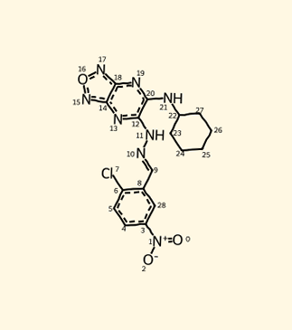 O=[N+]([O-])c1ccc(Cl)c(/C=N/Nc2nc3nonc3nc2NC2CCCCC2)c1